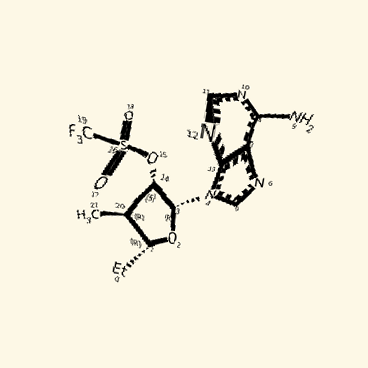 CC[C@H]1O[C@@H](n2cnc3c(N)ncnc32)[C@@H](OS(=O)(=O)C(F)(F)F)[C@@H]1C